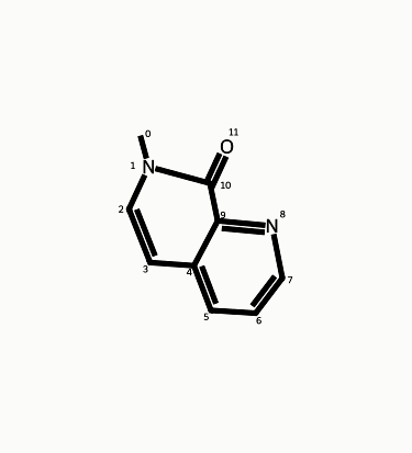 Cn1ccc2cccnc2c1=O